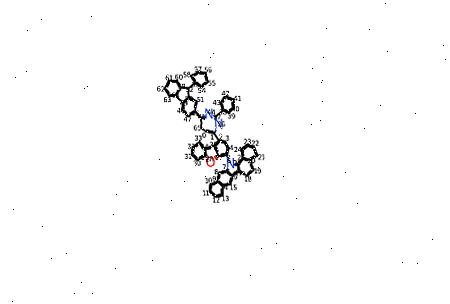 C1=C(c2ccc(-n3c4cc5ccccc5cc4c4ccc5ccccc5c43)c3oc4ccccc4c23)N=C(c2ccccc2)N=C(c2ccc3c(c2)C(c2ccccc2)c2ccccc2-3)C1